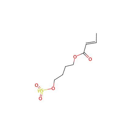 C/C=C/C(=O)OCCCCO[SH](=O)=O